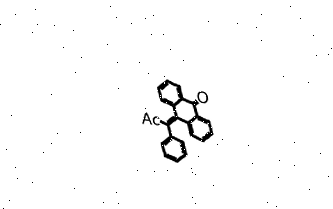 CC(=O)C(=C1c2ccccc2C(=O)c2ccccc21)c1ccccc1